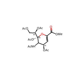 COC(=O)C1=C[C@@H](OC(C)=O)C(NC(C)=O)[C@@](OC(C)=O)([C@@H](COC(C)=O)OC(C)=O)O1